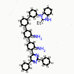 CCC1Nc2ccccc2N1c1cccc(-c2cccc(-c3ccc(-c4ccc(-c5cc(-c6ccccc6)nc(-c6ccccc6)n5)c(N)c4)c(N)c3)c2)c1